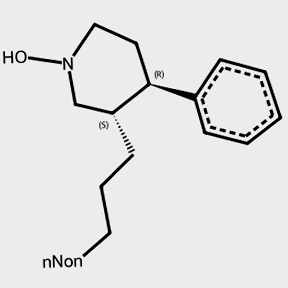 CCCCCCCCCCCC[C@@H]1CN(O)CC[C@H]1c1ccccc1